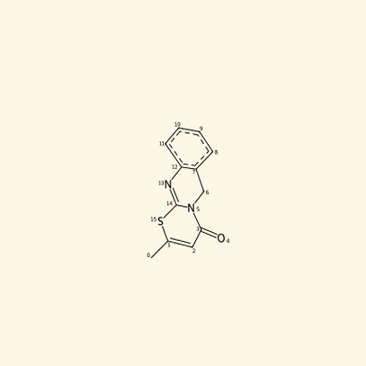 CC1=CC(=O)N2Cc3ccccc3N=C2S1